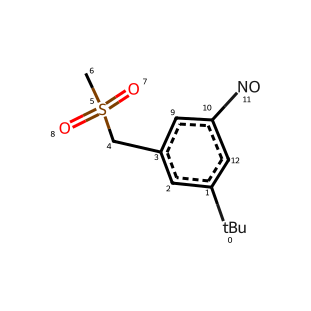 CC(C)(C)c1cc(CS(C)(=O)=O)cc(N=O)c1